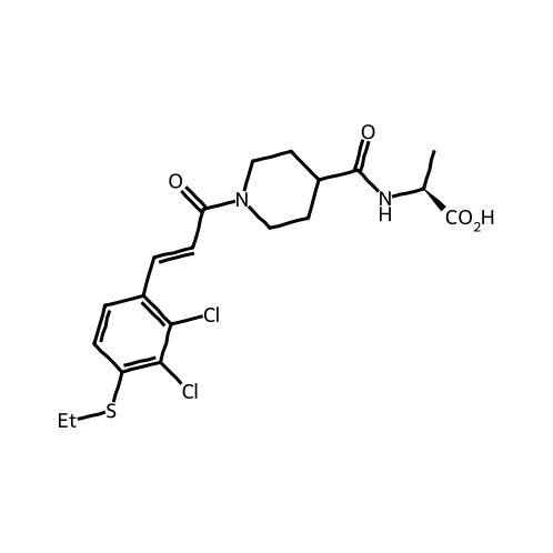 CCSc1ccc(/C=C/C(=O)N2CCC(C(=O)N[C@@H](C)C(=O)O)CC2)c(Cl)c1Cl